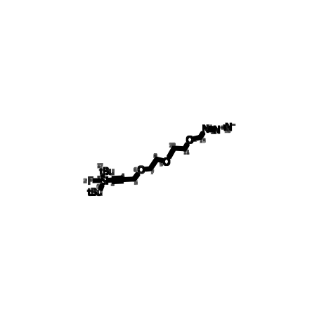 CC(C)(C)[Si](F)(C#CCOCCOCCOCN=[N+]=[N-])C(C)(C)C